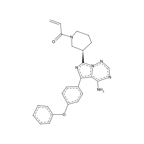 C=CC(=O)N1CCC[C@@H](c2nc(-c3ccc(Oc4ccccc4)cc3)c3c(N)ncnn23)C1